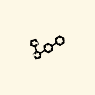 c1ccc(-c2ccc(-c3ccsc3-c3cccs3)cc2)cc1